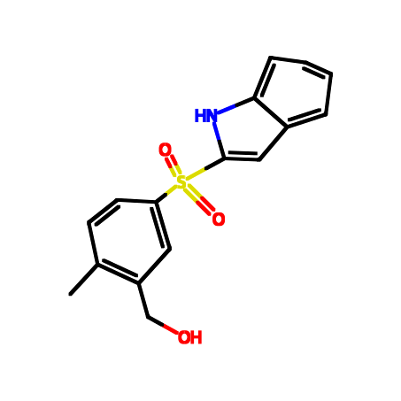 Cc1ccc(S(=O)(=O)c2cc3ccccc3[nH]2)cc1CO